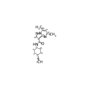 C#C[C@H]1CC[C@H](NC(=O)c2cnn3c(C)cc(C)nc23)CC1